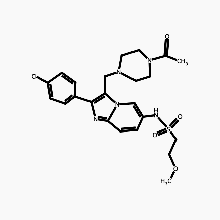 COCCS(=O)(=O)Nc1ccc2nc(-c3ccc(Cl)cc3)c(CN3CCN(C(C)=O)CC3)n2c1